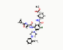 Cc1ccccc1N1CCN(c2cc(F)c(C(=O)N[C@@H]3CCC[C@@H](C(=O)OC(C)(C)C)C3)cc2NC(=O)c2coc(C3CC3)n2)CC1